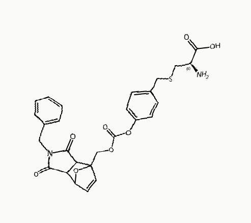 N[C@@H](CSCc1ccc(OC(=O)OCC23C=CC(O2)C2C(=O)N(Cc4ccccc4)C(=O)C23)cc1)C(=O)O